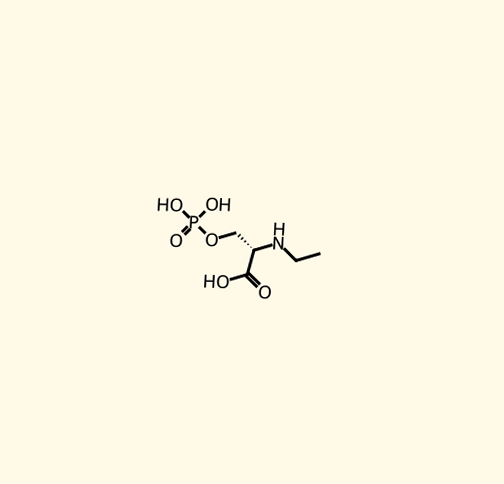 CCN[C@@H](COP(=O)(O)O)C(=O)O